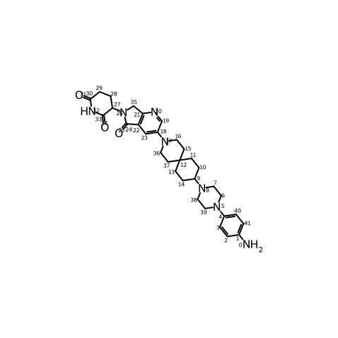 Nc1ccc(N2CCN(C3CCC4(CC3)CCN(c3cnc5c(c3)C(=O)N(C3CCC(=O)NC3=O)C5)CC4)CC2)cc1